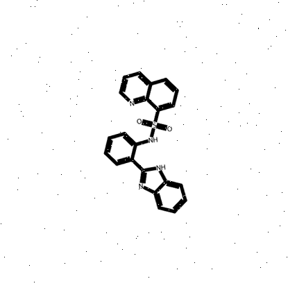 O=S(=O)(Nc1ccccc1-c1nc2ccccc2[nH]1)c1cccc2cccnc12